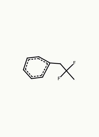 CC(F)(F)Cc1ccccc1